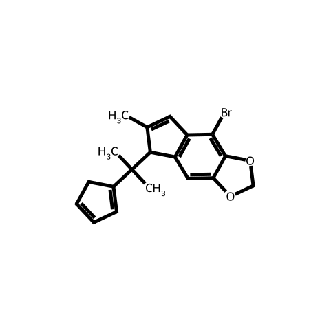 CC1=Cc2c(cc3c(c2Br)OCO3)C1C(C)(C)C1=CC=CC1